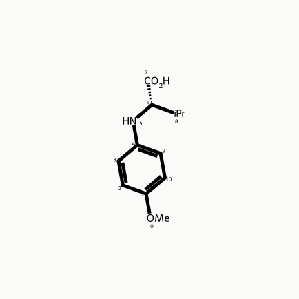 COc1ccc(N[C@H](C(=O)O)C(C)C)cc1